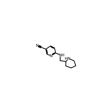 N#Cc1ccc(NCC2CCCCN2)nc1